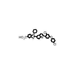 O=C(O)c1ccc2c(c1)nc(-c1ccc3nc(-c4ccc(Oc5ccc(Cl)cc5)cc4Cl)ccc3c1)n2C1CCCCC1